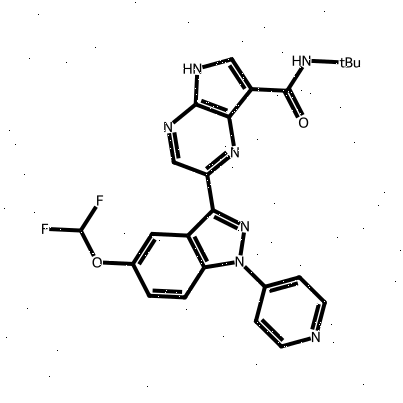 CC(C)(C)NC(=O)c1c[nH]c2ncc(-c3nn(-c4ccncc4)c4ccc(OC(F)F)cc34)nc12